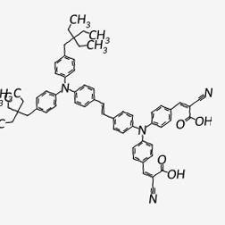 CCC(CC)(CC)Cc1ccc(N(c2ccc(C=Cc3ccc(N(c4ccc(/C=C(/C#N)C(=O)O)cc4)c4ccc(/C=C(/C#N)C(=O)O)cc4)cc3)cc2)c2ccc(CC(CC)(CC)CC)cc2)cc1